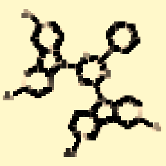 CC(C)(C)c1ccc2c(c1)c1cc(C(C)(C)C)ccc1n2-c1nc(-c2ccccc2)nc(-n2c3ccc(C(C)(C)C)cc3c3cc(C(C)(C)C)ccc32)n1